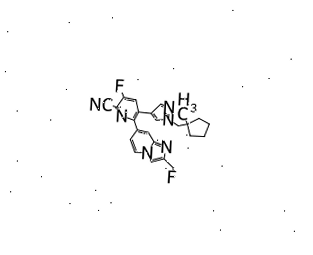 CC1(Cn2cc(-c3cc(F)c(C#N)nc3-c3ccn4cc(CF)nc4c3)cn2)CCCC1